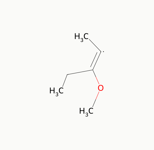 C/[C]=C(\CC)OC